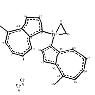 Cc1ccccc2[c]([Ti+2]3([c]4ccc5c(C)ccccc4-5)[CH2][CH2]3)ccc1-2.[Cl-].[Cl-]